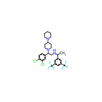 CC(NCC(c1ccc(Cl)c(Cl)c1)N1CCC(N2CCCCC2)CC1)c1cc(C(F)(F)F)cc(C(F)(F)F)c1